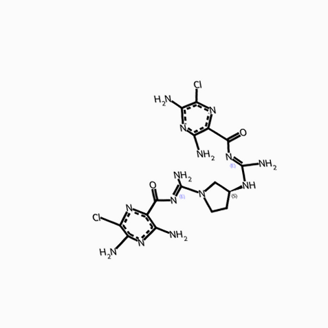 N/C(=N\C(=O)c1nc(Cl)c(N)nc1N)N[C@H]1CCN(/C(N)=N/C(=O)c2nc(Cl)c(N)nc2N)C1